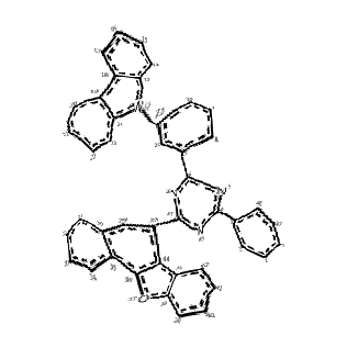 c1ccc(-c2nc(-c3cccc(-n4c5ccccc5c5ccccc54)c3)nc(-c3cc4ccccc4c4oc5ccccc5c34)n2)cc1